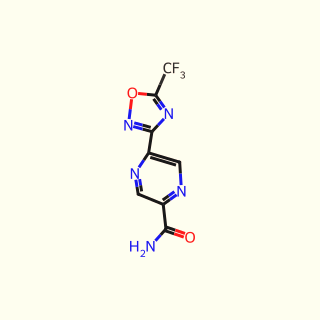 NC(=O)c1cnc(-c2noc(C(F)(F)F)n2)cn1